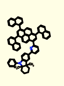 CC12CCCCC1(C)N(c1ccccc1)c1ccc(-c3cccc(-c4cc(-c5cccc6ccccc56)c5ccc6c(-c7cccc8ccccc78)cc(-c7cccc8ccccc78)c7ccc4c5c76)n3)cc12